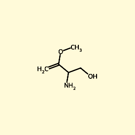 C=C(OC)C(N)CO